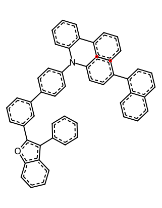 c1ccc(-c2ccccc2N(c2ccc(-c3cccc(-c4oc5ccccc5c4-c4ccccc4)c3)cc2)c2ccc(-c3cccc4ccccc34)cc2)cc1